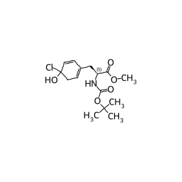 COC(=O)[C@H](CC1=CCC(O)(Cl)C=C1)NC(=O)OC(C)(C)C